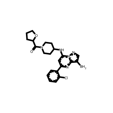 Bc1cnn2c(NC3CCN(C(=O)C4CCCO4)CC3)cc(-c3ccccc3Cl)nc12